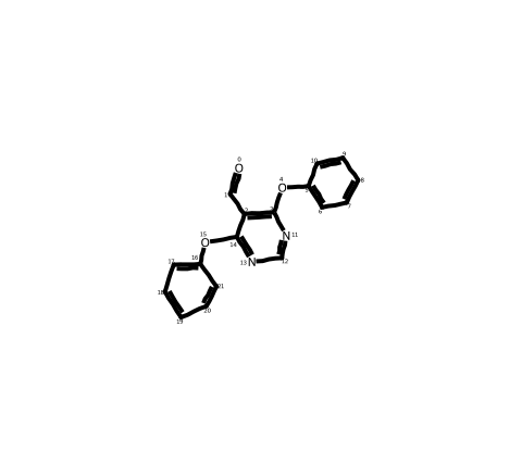 O=Cc1c(Oc2ccccc2)ncnc1Oc1ccccc1